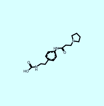 O=C(O)NCCc1ccc(NC(=O)CCN2CCCC2)cc1